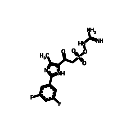 Cc1nc(-c2cc(F)cc(F)c2)[nH]c1C(=O)CS(=O)(=O)ONC(=N)N